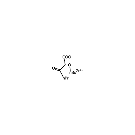 CCCC(=O)CC(=O)[O-].CCCC[O-].[Zr+2]